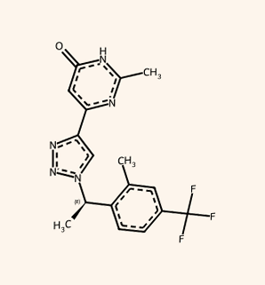 Cc1nc(-c2cn([C@H](C)c3ccc(C(F)(F)F)cc3C)nn2)cc(=O)[nH]1